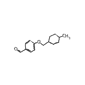 CC1CCC(COc2ccc(C=O)cc2)CC1